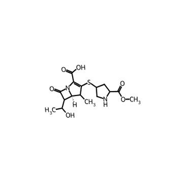 COC(=O)C1CC(SC2=C(C(=O)O)N3C(=O)C(C(C)O)[C@@H]3C2C)CN1